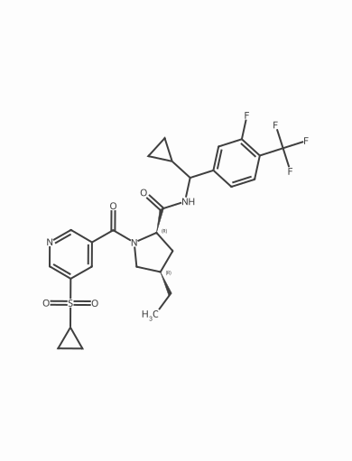 CC[C@@H]1C[C@H](C(=O)NC(c2ccc(C(F)(F)F)c(F)c2)C2CC2)N(C(=O)c2cncc(S(=O)(=O)C3CC3)c2)C1